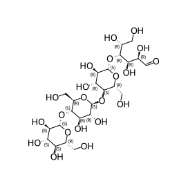 O=C[C@H](O)[C@@H](O)[C@H](O[C@@H]1O[C@H](CO)[C@@H](O[C@@H]2O[C@H](CO)[C@@H](O[C@@H]3O[C@H](CO)[C@@H](O)[C@H](O)[C@H]3O)[C@H](O)[C@H]2O)[C@H](O)[C@H]1O)[C@H](O)CO